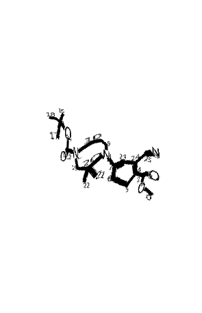 COC(=O)c1ccc(N2CCN(C(=O)OC(C)(C)C)CC2(C)C)cc1C#N